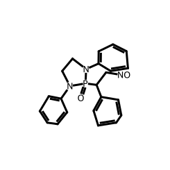 O=NCC(c1ccccc1)P1(=O)N(c2ccccc2)CCN1c1ccccc1